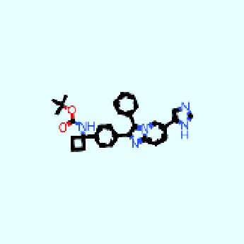 CC(C)(C)OC(=O)NC1(c2ccc(-c3nc4ccc(-c5cnc[nH]5)cn4c3-c3ccccc3)cc2)CCC1